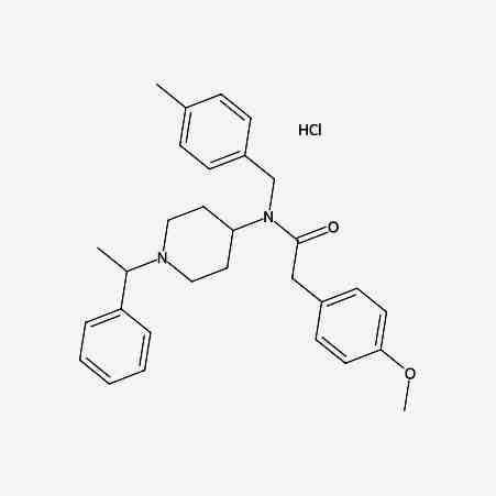 COc1ccc(CC(=O)N(Cc2ccc(C)cc2)C2CCN(C(C)c3ccccc3)CC2)cc1.Cl